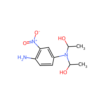 CC(O)N(c1ccc(N)c([N+](=O)[O-])c1)C(C)O